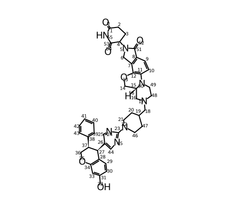 O=C1CCC(N2Cc3c(ccc4c3OC[C@H]3CN(CC5CCN(c6ncc([C@H]7c8ccc(O)cc8OC[C@H]7c7ccccc7)cn6)CC5)CCN43)C2=O)C(=O)N1